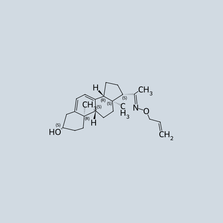 C=CCON=C(C)[C@H]1CC[C@H]2C3=CC=C4C[C@@H](O)CC[C@]4(C)[C@H]3CC[C@]12C